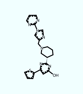 Oc1cc(-c2cccs2)nc([C@H]2CCCN(Cc3cn(-c4ncccn4)cn3)C2)n1